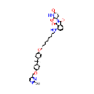 CC(=O)c1nccc(COc2ccc(C(C)(C)c3ccc(OCCCCCCCCCNc4cccc5c4C(=O)N(C4CCC(=O)NC4=O)C5=O)cc3)cc2)n1